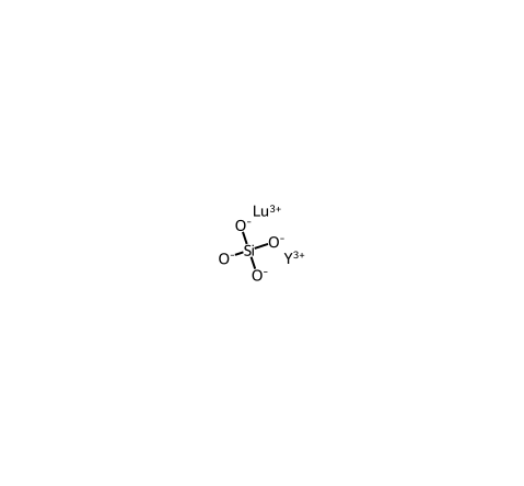 [Lu+3].[O-][Si]([O-])([O-])[O-].[Y+3]